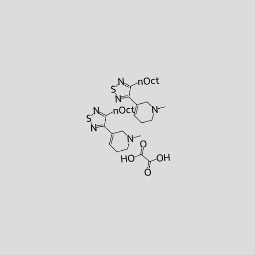 CCCCCCCCc1nsnc1C1=CCCN(C)C1.CCCCCCCCc1nsnc1C1=CCCN(C)C1.O=C(O)C(=O)O